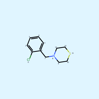 Clc1ccccc1CN1CCSCC1